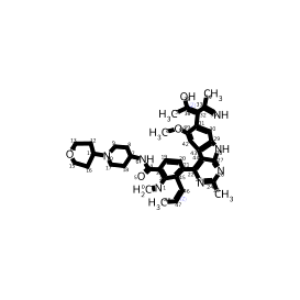 C=Nc1c(C(=O)NC2CCN(C3CCOCC3)CC2)ccc(-c2nc(C)nc3[nH]c4cc(/C(C(C)=N)=C(\C)O)c(OC)cc4c23)c1/C=C\C